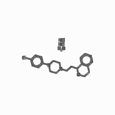 Cl.Cl.Clc1ccc(N2CCN(CCC3OCCc4ccccc43)CC2)cc1.O